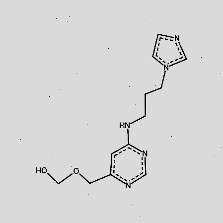 OCOCc1cc(NCCCn2ccnc2)ncn1